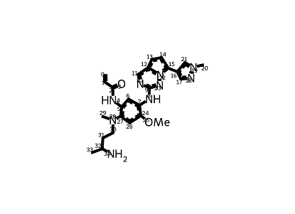 C=CC(=O)Nc1cc(Nc2ncc3ccc(-c4cnn(C)c4)n3n2)c(OC)cc1N(C)CCC(C)N